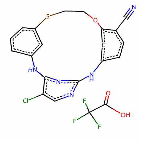 N#Cc1ccc2cc1OCCSc1cccc(c1)Nc1nc(ncc1Cl)N2.O=C(O)C(F)(F)F